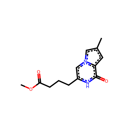 COC(=O)CCCc1cn2cc(C)cc2c(=O)[nH]1